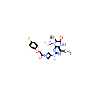 Cc1nc(NC2CN(C(=O)COc3ccc(F)cc3)C2)nc2c1NC(=O)C(C(C)C)N2C